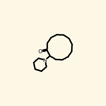 O=C1CCCCCCCCCCC1N1CCCCC1